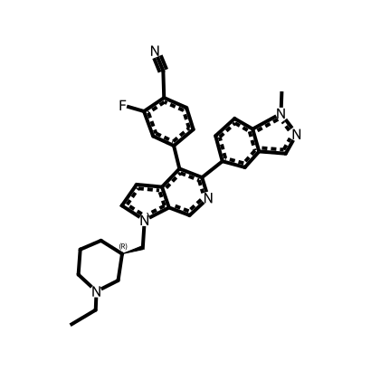 CCN1CCC[C@@H](Cn2ccc3c(-c4ccc(C#N)c(F)c4)c(-c4ccc5c(cnn5C)c4)ncc32)C1